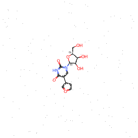 O=c1[nH]c(=O)n([C@H]2O[C@@H](CO)C(O)C2O)cc1-c1ccoc1